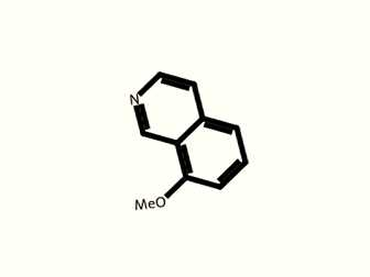 COc1cccc2ccncc12